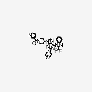 O=C(c1cccnc1)N1CCC(n2cnc3c(-n4c(C(F)F)nc5ccccc54)nc(N4CCOCC4)nc32)CC1